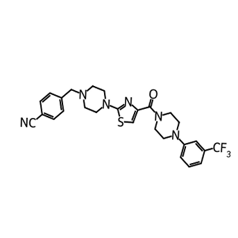 N#Cc1ccc(CN2CCN(c3nc(C(=O)N4CCN(c5cccc(C(F)(F)F)c5)CC4)cs3)CC2)cc1